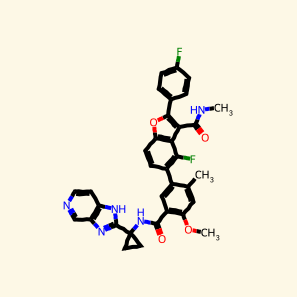 CNC(=O)c1c(-c2ccc(F)cc2)oc2ccc(-c3cc(C(=O)NC4(c5nc6cnccc6[nH]5)CC4)c(OC)cc3C)c(F)c12